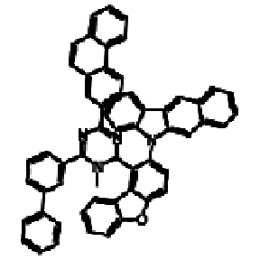 CN1C(c2cccc(-c3ccccc3)c2)=NC(c2ccc3c(ccc4ccccc43)c2)=NC1c1c(-n2c3ccccc3c3cc4ccccc4cc32)ccc2oc3ccccc3c12